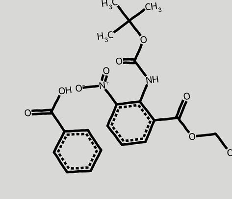 CCOC(=O)c1cccc([N+](=O)[O-])c1NC(=O)OC(C)(C)C.O=C(O)c1ccccc1